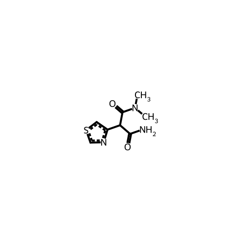 CN(C)C(=O)C(C(N)=O)c1cscn1